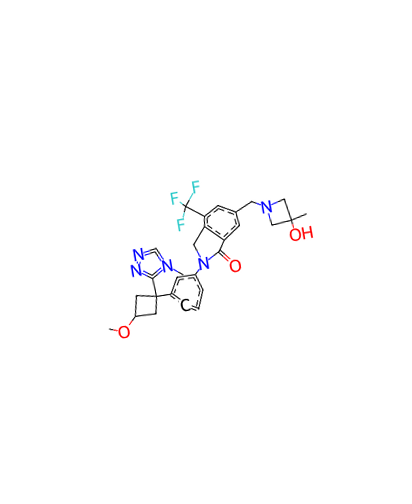 COC1CC(c2cccc(N3Cc4c(cc(CN5CC(C)(O)C5)cc4C(F)(F)F)C3=O)c2)(c2nncn2C)C1